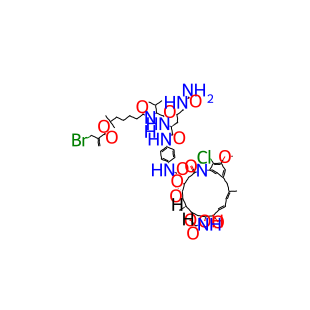 C=C(CBr)C(=O)OC(C)(C)CCCCC(=O)N[C@H](C(=O)N[C@@H](CCCNC(N)=O)C(=O)Nc1ccc(NC(=O)O[C@H]2CC(=O)N(C)c3cc(cc(OC)c3Cl)C/C(C)=C/C=C/[C@@H](OC)[C@@]3(O)C[C@H](OC(=O)N3)[C@@H](C)[C@@H]3O[C@@]23C)cc1)C(C)C